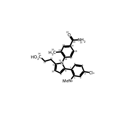 CNc1cc(Cl)ccc1-c1ccc(CCC(=O)O)n1-c1ccc(C(N)=O)cc1C